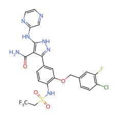 NC(=O)c1c(-c2ccc(NS(=O)(=O)CC(F)(F)F)c(OCc3ccc(Cl)c(F)c3)c2)n[nH]c1Nc1cnccn1